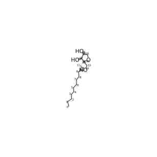 CCCCCCCCCCOC[C@@]1(CO)OC[C@@H](O)C1O